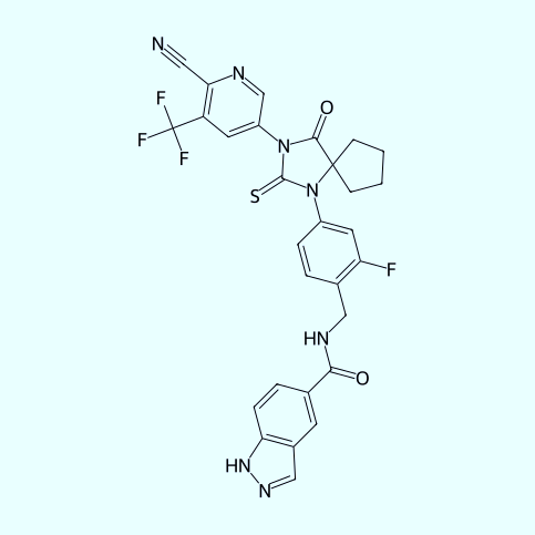 N#Cc1ncc(N2C(=O)C3(CCCC3)N(c3ccc(CNC(=O)c4ccc5[nH]ncc5c4)c(F)c3)C2=S)cc1C(F)(F)F